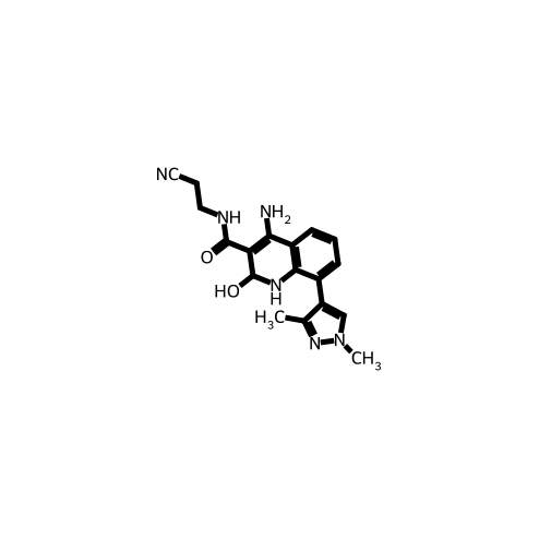 Cc1nn(C)cc1-c1cccc2c1NC(O)C(C(=O)NCCC#N)=C2N